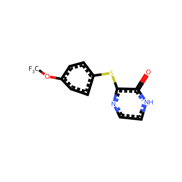 O=c1[nH]ccnc1Sc1ccc(OC(F)(F)F)cc1